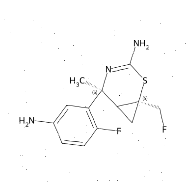 C[C@]1(c2cc(N)ccc2F)N=C(N)S[C@@]2(CF)CC21